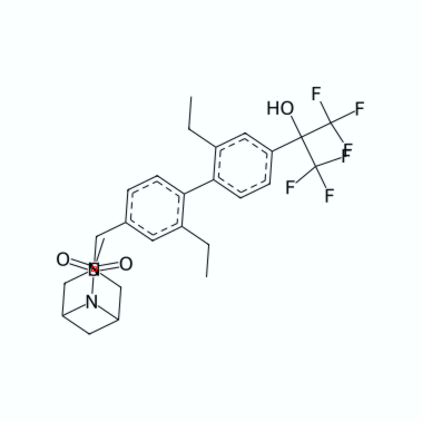 CCc1cc(CN2CC3CC(C2)N3S(C)(=O)=O)ccc1-c1ccc(C(O)(C(F)(F)F)C(F)(F)F)cc1CC